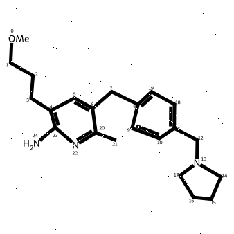 COCCCc1cc(Cc2ccc(CN3CCCC3)cc2)c(C)nc1N